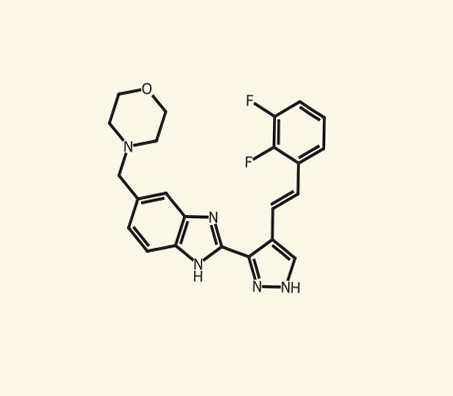 Fc1cccc(/C=C/c2c[nH]nc2-c2nc3cc(CN4CCOCC4)ccc3[nH]2)c1F